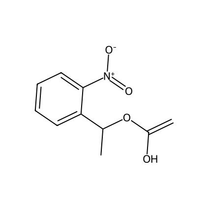 C=C(O)OC(C)c1ccccc1[N+](=O)[O-]